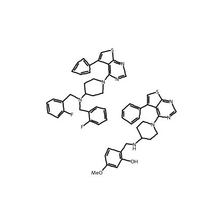 COc1ccc(CNC2CCN(c3ncnc4scc(-c5ccccc5)c34)CC2)c(O)c1.Fc1ccccc1CN(Cc1ccccc1F)C1CCN(c2ncnc3scc(-c4ccccc4)c23)CC1